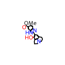 COC(=O)c1ccc2nc(-c3cc4c5c(c3O)CCCN5CCC4)[nH]c2c1